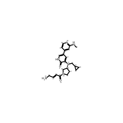 CNc1cc(-c2c[nH]c(=O)c(N(CC3CC3)[C@H]3CCN(C(=O)/C=C/CN)C3)c2)ccn1